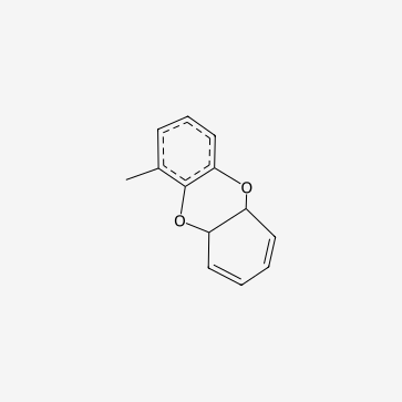 Cc1cccc2c1OC1C=CC=CC1O2